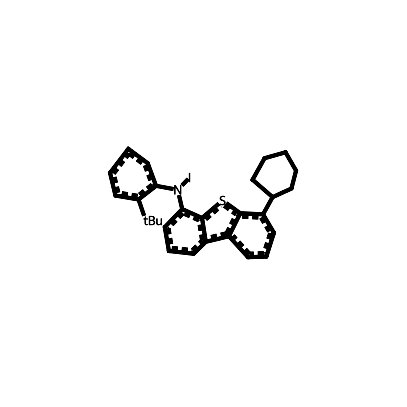 CC(C)(C)c1ccccc1N(I)c1cccc2c1sc1c(C3CCCCC3)cccc12